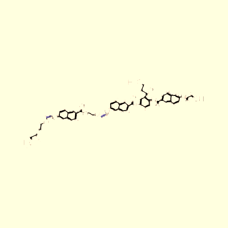 C=CC(=O)OCCO/C=C\Oc1ccc2cc(C(=O)OCCO/C=C\Oc3ccc4cc(C(=O)Oc5ccc(OC(=O)c6ccc7cc(OC(=O)C=C)ccc7c6)c(C(=O)CCC)c5)ccc4c3)ccc2c1